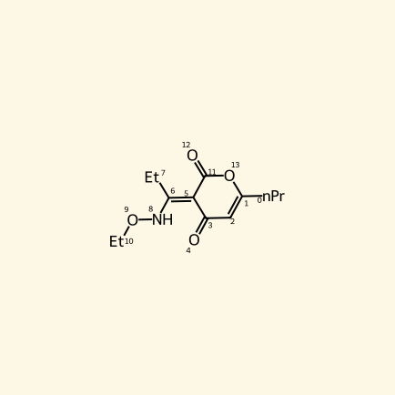 CCCC1=CC(=O)C(=C(CC)NOCC)C(=O)O1